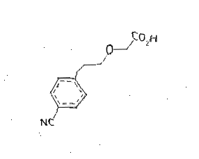 N#Cc1ccc(CCOCC(=O)O)cc1